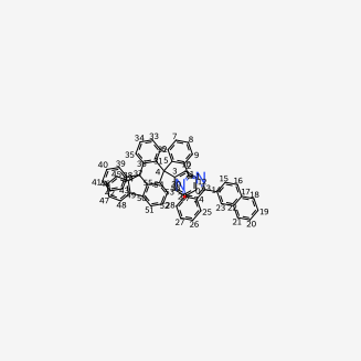 c1ccc(C2(c3ccccc3-c3nc(-c4ccc5ccccc5c4)c4ccccc4n3)c3ccccc3C3(c4ccccc4)c4ccccc4-c4cccc2c43)cc1